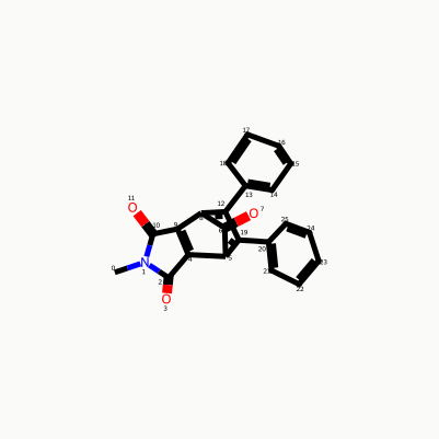 Cn1c(=O)c2c3c(=O)c(c=2c1=O)=C(c1ccccc1)C=3c1ccccc1